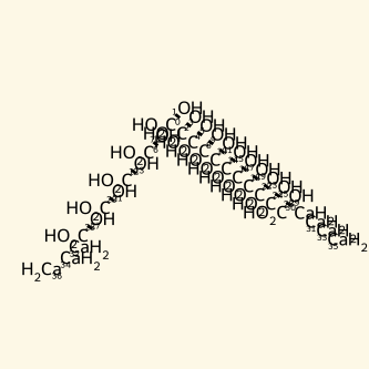 O=C(O)O.O=C(O)O.O=C(O)O.O=C(O)O.O=C(O)O.O=C(O)O.O=C(O)O.O=C(O)O.O=C(O)O.O=C(O)O.O=C(O)O.O=C(O)O.O=C(O)O.O=C(O)O.O=C(O)O.[CaH2].[CaH2].[CaH2].[CaH2].[CaH2].[CaH2].[CaH2]